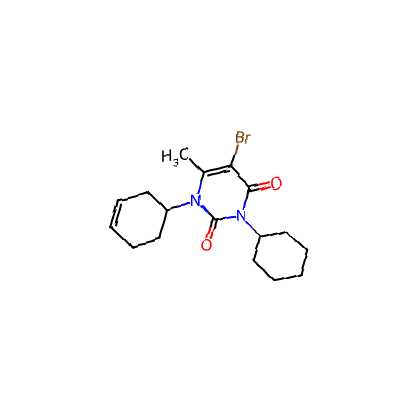 Cc1c(Br)c(=O)n(C2CCCCC2)c(=O)n1C1CC=CCC1